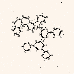 c1ccc(-c2cc(-c3ccccc3)cc(-c3nc(-c4ccccc4)nc(-n4c5ccccc5c5c6ccc7ccc8ccccc8c7c6ccc54)n3)c2)cc1